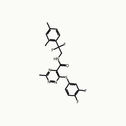 Cc1ccc(C(F)(F)CNC(=O)c2nc(C)nnc2Sc2ccc(F)c(F)c2)c(C)c1